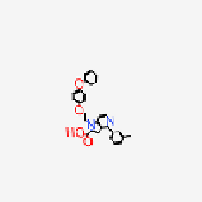 Cc1cccc(-c2nccc3c2cc(C(=O)O)n3CCOc2ccc(Oc3ccccc3)cc2)c1